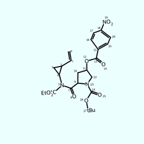 C=CC1CC1N(C(=O)OCC)C(=O)C1CC(OC(=O)c2ccc([N+](=O)[O-])cc2)CN1C(=O)OC(C)(C)C